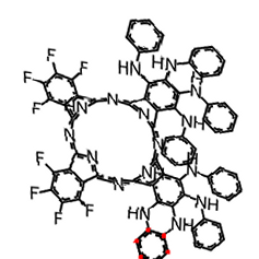 Fc1c(F)c(F)c2c(c1F)-c1nc-2nc2[nH]c(nc3nc(nc4[nH]c(n1)c1c(F)c(F)c(F)c(F)c41)-c1c(Nc4ccccc4)c(Nc4ccccc4)c(Nc4ccccc4)c(Nc4ccccc4)c1-3)c1c(Nc3ccccc3)c(Nc3ccccc3)c(Nc3ccccc3)c(Nc3ccccc3)c21